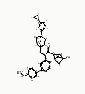 CCOc1ncc(-c2ccnc(N(CC34CCC(c5nc(C6CC6)no5)(CC3)CC4)C(=O)C3CC4(F)CC3C4)c2)cn1